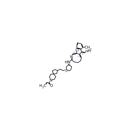 C=CC(=O)N1CCC2(CCC(CC[C@@H]3CCC[C@@H](N/C4=N/C=C(Cl)\C(C(=C\CCC)\c5ccccc5C)=C/CCC4)C3)C2)CC1